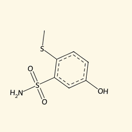 CSc1ccc(O)cc1S(N)(=O)=O